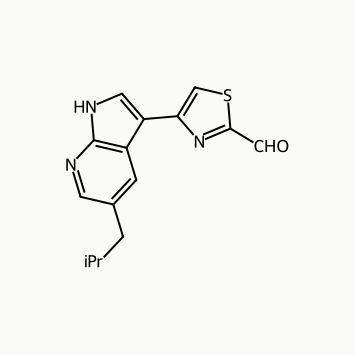 CC(C)Cc1cnc2[nH]cc(-c3csc(C=O)n3)c2c1